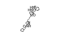 C[C@@H](NC(=O)Nc1ccn(CCCCc2ccc(NC(=O)Cc3ccccc3)nn2)c(=O)n1)c1ccccc1